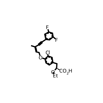 CCO[C@@H](Cc1ccc(OCC=C(C)C#Cc2cc(F)cc(F)c2)c(Cl)c1)C(=O)O